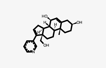 C[C@]12CC[C@H](O)CC1=C[C@H](O)[C@H]1[C@@H]3CC=C(c4cccnc4)[C@@]3(CO)CC[C@@H]12